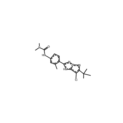 Cc1cc(NC(=O)N(C)C)ccc1-c1nn2nc(C(C)(C)C)c(Cl)c2[nH]1